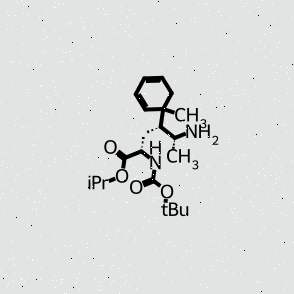 CC(C)OC(=O)[C@H](C[C@@H]([C@@H](C)N)C1(C)C=CC=CC1)NC(=O)OC(C)(C)C